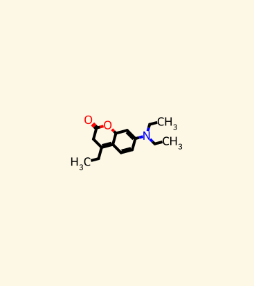 CCC1=C2C=CC(N(CC)CC)=CC2OC(=O)C1